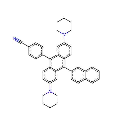 N#Cc1ccc(-c2c3ccc(N4CCCCC4)cc3c(-c3ccc4ccccc4c3)c3ccc(N4CCCCC4)cc23)cc1